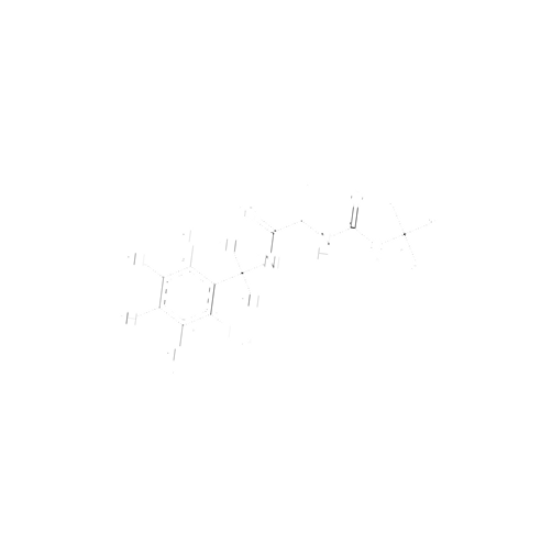 [2H]c1c([2H])c([2H])c(C([2H])([2H])NC(=O)[C@H](C)NC(=O)OC(C)(C)C)c([2H])c1[2H]